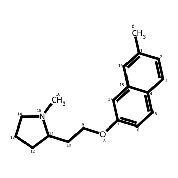 Cc1ccc2ccc(OCCC3CCCN3C)cc2c1